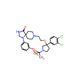 COc1cccc(N2CNC(=O)C23CCN(CCOC2(c4ccc(Cl)c(Cl)c4)CCN(C(C)=O)C2)CC3)c1